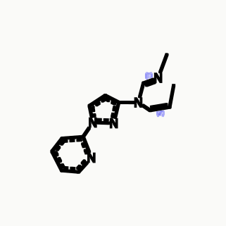 C/C=C\N(/C=N/C)c1ccn(-c2ccccn2)n1